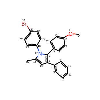 COc1ccc(-c2c(-c3ccccc3)cc(C)n2-c2ccc(Br)cc2)cc1